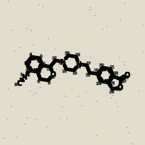 [C-]#[N+]c1cccc2c1CCOC2CN1CCN(CCc2ccc3c(c2)COC3=O)CC1